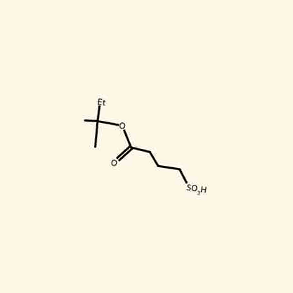 CCC(C)(C)OC(=O)CCCS(=O)(=O)O